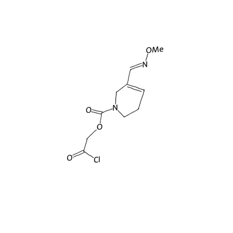 CON=CC1=CCCN(C(=O)OCC(=O)Cl)C1